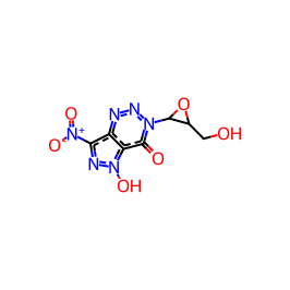 O=c1c2c(nnn1C1OC1CO)c([N+](=O)[O-])nn2O